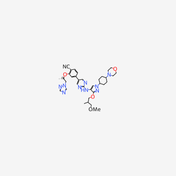 COCC(C)COc1nn(C2CCC(N3CCOCC3)CC2)cc1Nc1ncc(-c2ccc(C#N)c(O[C@@H](C)Cn3cncn3)c2)cn1